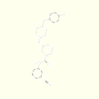 N#Cc1cccc(NC(=O)N2CCCC(CN3CCC(Cc4ccc(F)cc4)CC3)C2)c1